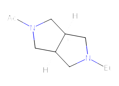 CCN1C[C@@H]2CN(C(C)=O)C[C@@H]2C1